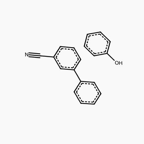 N#Cc1cccc(-c2ccccc2)c1.Oc1ccccc1